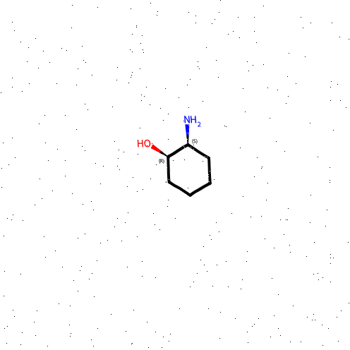 N[C@H]1CCC[CH][C@H]1O